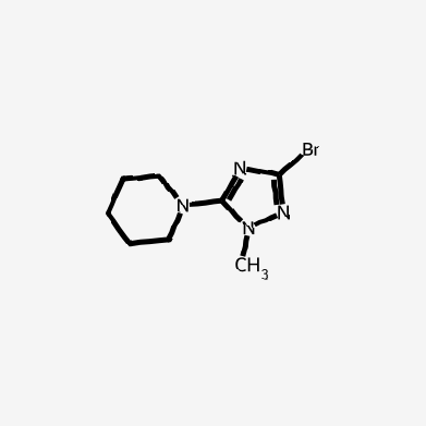 Cn1nc(Br)nc1N1CCCCC1